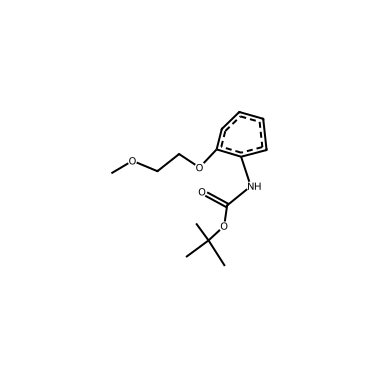 COCCOc1ccccc1NC(=O)OC(C)(C)C